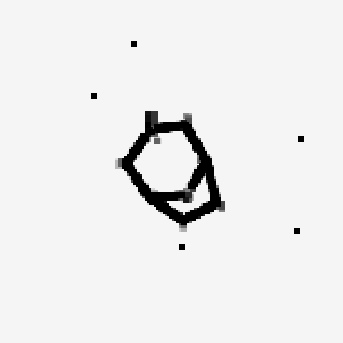 C1CC2CNCC1S2